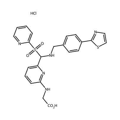 Cl.O=C(O)CNc1cccc(C(NCc2ccc(-c3nccs3)cc2)S(=O)(=O)c2ccccn2)n1